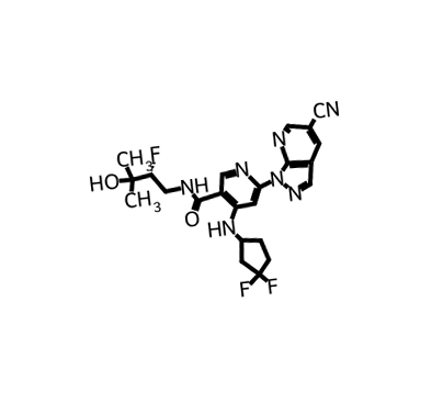 CC(C)(O)[C@H](F)CNC(=O)c1cnc(-n2ncc3cc(C#N)cnc32)cc1NC1CCC(F)(F)C1